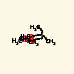 C=C(/C=C(\C=C(/C)OC(=O)CCCCCCC/C=C\C/C=C\CCCCC)COC(=O)OCCN(C)C)OC(=O)CCCCCCC/C=C\C/C=C\CCCCC